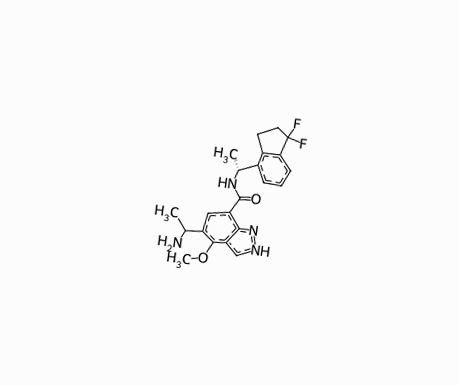 COc1c(C(C)N)cc(C(=O)N[C@H](C)c2cccc3c2CCC3(F)F)c2n[nH]cc12